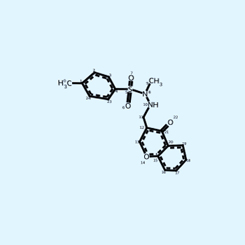 Cc1ccc(S(=O)(=O)N(C)NCc2coc3ccccc3c2=O)cc1